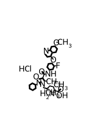 COc1ccc2c(Oc3ccc(NC(=O)c4c(C)n(C[C@@H](C)CC(C)C(N)C(=O)O)n(-c5ccccc5)c4=O)cc3F)ccnc2c1.Cl